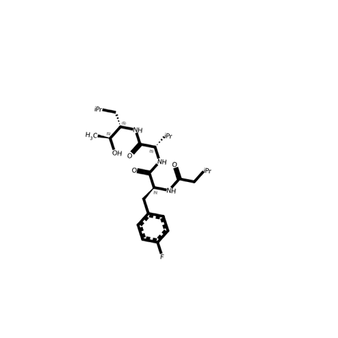 CC(C)CC(=O)N[C@@H](Cc1ccc(F)cc1)C(=O)N[C@H](C(=O)N[C@@H](CC(C)C)[C@H](C)O)C(C)C